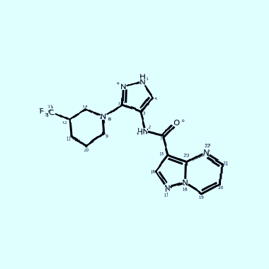 O=C(Nc1c[nH]nc1N1CCCC(C(F)(F)F)C1)c1cnn2cccnc12